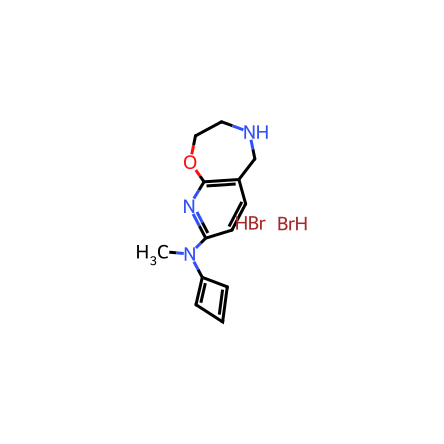 Br.Br.CN(C1=CC=C1)c1ccc2c(n1)OCCNC2